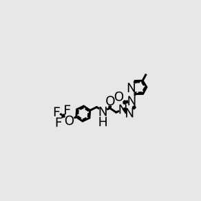 Cc1ccc(-n2cnn(CC(=O)NCc3ccc(OC(F)(F)F)cc3)c2=O)nc1